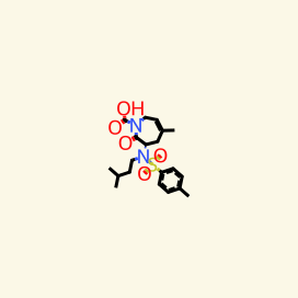 CC1=CCN(C(=O)O)C(=O)[C@@H](N(CCC(C)C)S(=O)(=O)c2ccc(C)cc2)C1